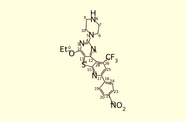 CCOc1nc(N2CCNCC2)nc2c1sc1nc(-c3ccc([N+](=O)[O-])cc3)cc(C(F)(F)F)c12